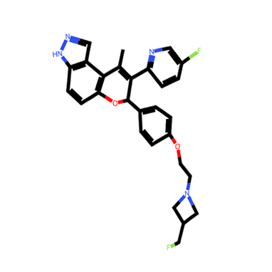 CC1=C(c2ccc(F)cn2)C(c2ccc(OCCN3CC(CF)C3)cc2)Oc2ccc3[nH]ncc3c21